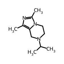 Cc1nc(C)n2c1CN(C(C)C)CC2